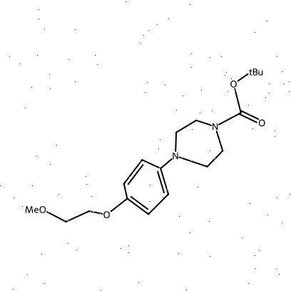 COCCOc1ccc(N2CCN(C(=O)OC(C)(C)C)CC2)cc1